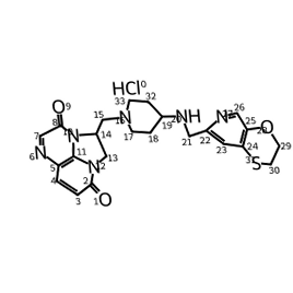 Cl.O=c1ccc2ncc(=O)n3c2n1CC3CN1CCC(NCc2cc3c(cn2)OCCS3)CC1